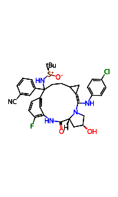 CC(C)(C)[S@@+]([O-])NC1(c2cccc(C#N)c2)CCC2C/C2=C(\Nc2ccc(Cl)cc2)N2C[C@@H](O)C[C@@H]2C(=O)Nc2cc1ccc2F